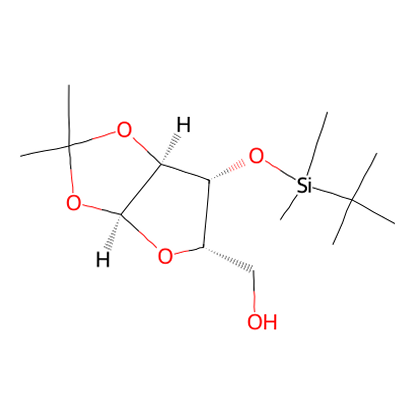 CC1(C)O[C@@H]2O[C@@H](CO)[C@@H](O[Si](C)(C)C(C)(C)C)[C@@H]2O1